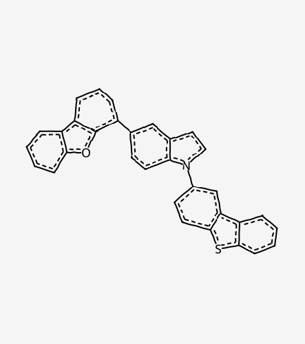 c1ccc2c(c1)oc1c(-c3ccc4c(ccn4-c4ccc5sc6ccccc6c5c4)c3)cccc12